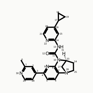 Cc1cc(-c2ccc3c(n2)N(C(=O)Nc2cc(C4CC4)ccn2)[C@H]2CCN3C2)ccn1